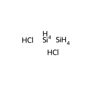 Cl.Cl.[SiH4].[SiH4]